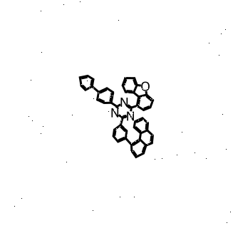 c1ccc(-c2ccc(-c3nc(-c4cccc(-c5cccc6ccc7ccccc7c56)c4)nc(-c4cccc5oc6ccccc6c45)n3)cc2)cc1